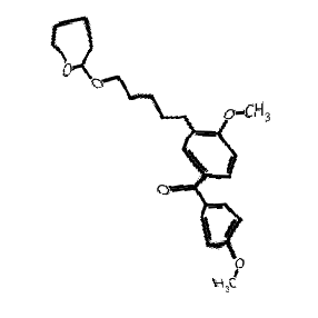 COc1ccc(C(=O)c2ccc(OC)c(CCCCCOC3CCCCO3)c2)cc1